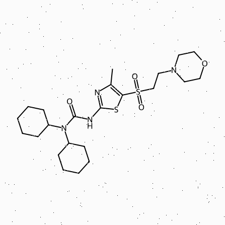 Cc1nc(NC(=O)N(C2CCCCC2)C2CCCCC2)sc1S(=O)(=O)CCN1CCOCC1